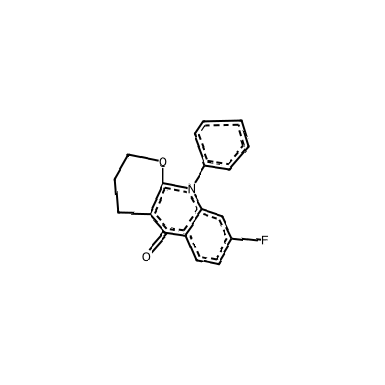 O=c1c2c(n(-c3ccccc3)c3cc(F)ccc13)OCCC2